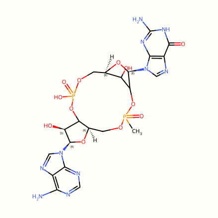 CP1(=O)OC[C@H]2O[C@@H](n3cnc4c(N)ncnc43)[C@@H](O)C2OP(=O)(O)OC[C@H]2O[C@@H](n3cnc4c(=O)[nH]c(N)nc43)C(O1)C2O